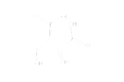 C=CC(=O)O.CC=CC(=O)O